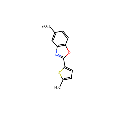 CCCCCCCCc1ccc2oc(-c3ccc(C)s3)nc2c1